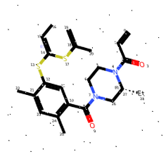 C=CC(=O)N1CCN(C(=O)c2cc(S/C(=C/C)SC(=C)C)c(C)cc2C)C[C@H]1CC